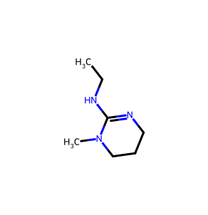 CCNC1=NCCCN1C